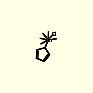 [CH3][Rh]([CH3])([CH3])([CH3])([CH3])([Cl])[CH]1C=CC=C1